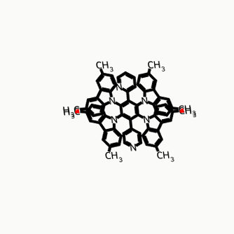 Cc1ccc2c(c1)c1cc(C)ccc1n2-c1c(-c2ccncc2)c(-n2c3ccc(C)cc3c3cc(C)ccc32)c(-n2c3ccc(C)cc3c3cc(C)ccc32)c(-c2ccccn2)c1-n1c2ccc(C)cc2c2cc(C)ccc21